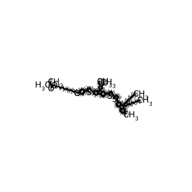 C=C(C)C(=O)OCCCCCCCCCCOc1ccc(-c2ccc(-c3ccc4c(c3)C(CCCC)(CCCC)c3cc(-c5ccc(-c6ccc(-c7ccc8c(c7)C(CCCCCCCC)(CCCCCCCC)c7cc(C)ccc7-8)s6)s5)ccc3-4)s2)cc1